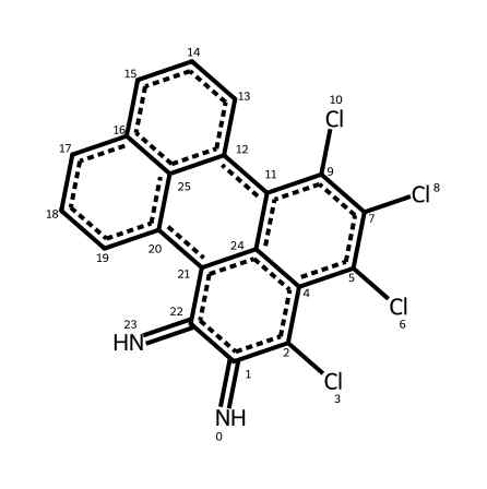 N=c1c(Cl)c2c(Cl)c(Cl)c(Cl)c3c4cccc5cccc(c(c1=N)c23)c54